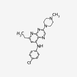 CCc1cc(Nc2ccc(Cl)cc2)c2ncc(N3CCN(C)CC3)nc2n1